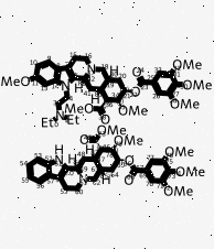 CCN(CC)CCn1c2c(c3ccc(OC)cc31)CCN1C[C@H]3C[C@@H](OC(=O)c4cc(OC)c(OC)c(OC)c4)[C@H](OC)[C@@H](C(=O)OC)[C@H]3C[C@H]21.COC(=O)[C@H]1[C@H]2C[C@@H]3c4[nH]c5ccccc5c4CCN3C[C@H]2C[C@@H](OC(=O)c2cc(OC)c(OC)c(OC)c2)[C@@H]1OC